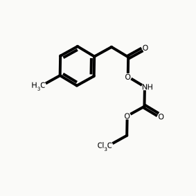 Cc1ccc(CC(=O)ONC(=O)OCC(Cl)(Cl)Cl)cc1